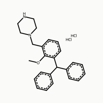 COc1c(CN2CCNCC2)cccc1C(c1ccccc1)c1ccccc1.Cl.Cl